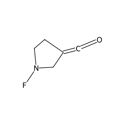 O=C=C1CCN(F)C1